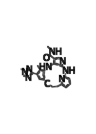 CNC(=O)c1cnc2cc1Nc1cc(cc(-c3ncn(C)n3)c1C)CCCc1cccc(n1)N2